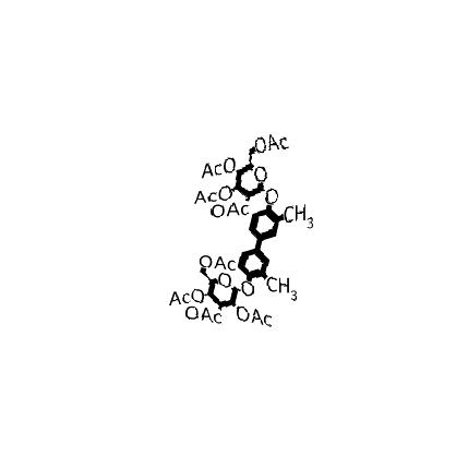 CC(=O)OC[C@H]1O[C@H](Oc2ccc(-c3ccc(O[C@H]4O[C@H](COC(C)=O)[C@@H](OC(C)=O)[C@H](OC(C)=O)[C@@H]4OC(C)=O)c(C)c3)cc2C)[C@@H](OC(C)=O)[C@@H](OC(C)=O)[C@@H]1OC(C)=O